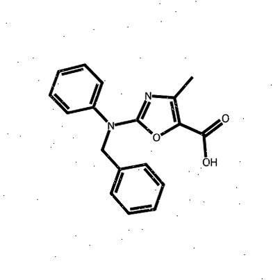 Cc1nc(N(Cc2ccccc2)c2ccccc2)oc1C(=O)O